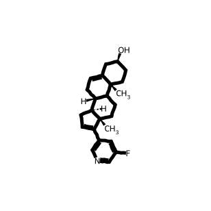 C[C@]12CC[C@H](O)CC1=CC[C@@H]1C2CC[C@]2(C)C(c3cncc(F)c3)=CC[C@@H]12